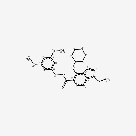 CCn1ncc2c(NC3CCOCC3)c(C(=O)NCc3cc(OC)cc(OC)c3)cnc21